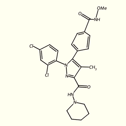 CONC(=O)c1ccc(-c2c(C)c(C(=O)NN3CCCCC3)nn2-c2ccc(Cl)cc2Cl)cc1